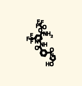 NC(OC(=O)C(F)(F)F)c1cc(NC(=O)c2cccc(C(=O)N3CC[C@H](O)C3)c2)nc(C(F)(F)F)c1